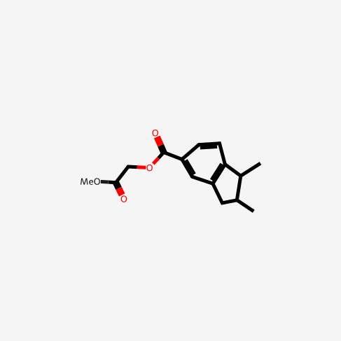 COC(=O)COC(=O)c1ccc2c(c1)CC(C)C2C